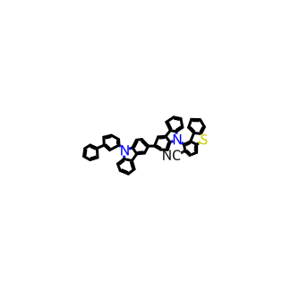 N#Cc1ccc2sc3ccccc3c2c1-n1c2ccccc2c2cc(-c3ccc4c(c3)c3ccccc3n4-c3cccc(-c4ccccc4)c3)ccc21